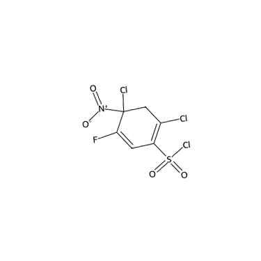 O=[N+]([O-])C1(Cl)CC(Cl)=C(S(=O)(=O)Cl)C=C1F